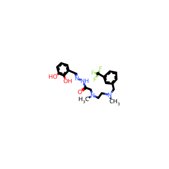 CN(CCN(C)Cc1cccc(C(F)(F)F)c1)CC(=O)N/N=C/c1cccc(O)c1O